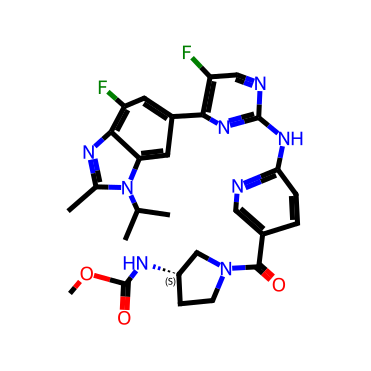 COC(=O)N[C@H]1CCN(C(=O)c2ccc(Nc3ncc(F)c(-c4cc(F)c5nc(C)n(C(C)C)c5c4)n3)nc2)C1